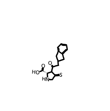 O=C(CC1Cc2ccccc2C1)C1C(=S)CN[C@@H]1C(=O)O